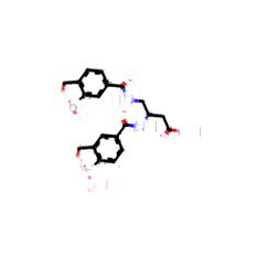 O=C(O)CC(CNC(=O)c1ccc2c(c1)B(O)OC2)NC(=O)c1ccc2c(c1)COB2O